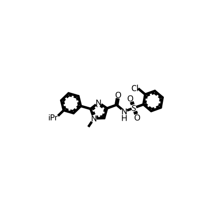 CC(C)c1cccc(-c2nc(C(=O)NS(=O)(=O)c3ccccc3Cl)cn2C)c1